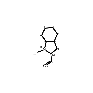 O=C[C@@H]1CC2CCCCC2N1I